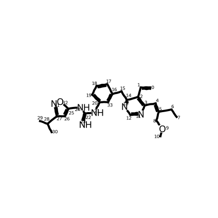 C=Cc1c(/C=C(/CC)COC)ncnc1Cc1cccc(NC(=N)Nc2cc(C(C)C)no2)c1